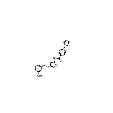 COc1cccc(CCc2cc(NC(=O)c3ccc(-n4cccn4)cc3)[nH]n2)c1